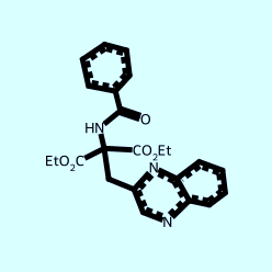 CCOC(=O)C(Cc1cnc2ccccc2n1)(NC(=O)c1ccccc1)C(=O)OCC